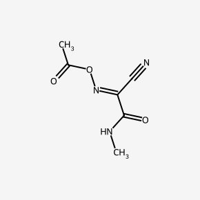 CNC(=O)C(C#N)=NOC(C)=O